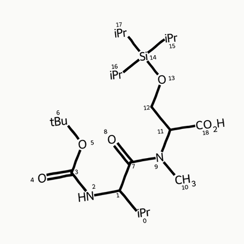 CC(C)C(NC(=O)OC(C)(C)C)C(=O)N(C)C(CO[Si](C(C)C)(C(C)C)C(C)C)C(=O)O